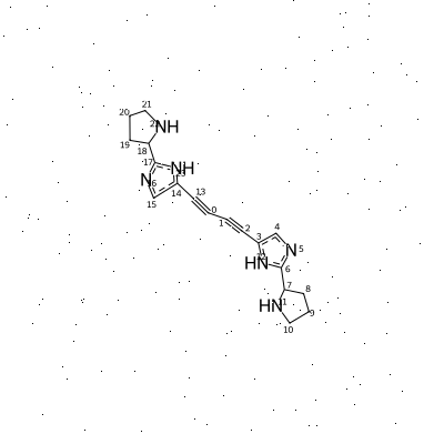 C(C#Cc1cnc(C2CCCN2)[nH]1)#Cc1cnc(C2CCCN2)[nH]1